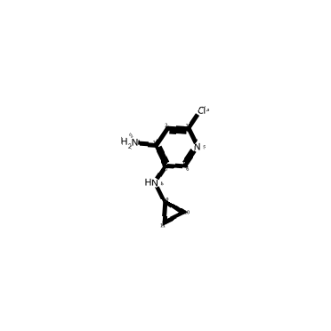 Nc1cc(Cl)ncc1NC1CC1